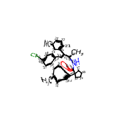 Cc1ccc(C2(C(=O)NC(C)C(Cc3ccc(Cl)cc3)c3cccc(C#N)c3)CCCC2)cc1